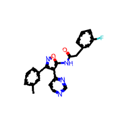 Cc1cccc(-c2noc(NC(=O)Cc3cccc(F)c3)c2-c2ccncn2)c1